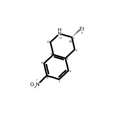 CC[C@@H]1Cc2ccc([N+](=O)[O-])cc2CN1